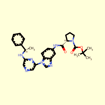 C[C@H](Nc1cncc(-n2cnc3cc(NC(=O)[C@@H]4CCCN4C(=O)OC(C)(C)C)ccc32)n1)c1ccccc1